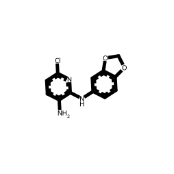 Nc1ccc(Cl)nc1Nc1ccc2c(c1)OCO2